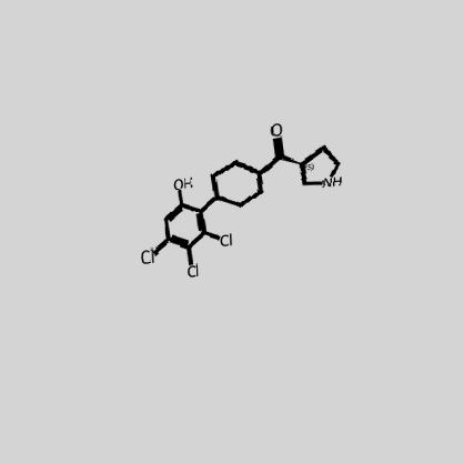 O=C(C1CCC(c2c(O)cc(Cl)c(Cl)c2Cl)CC1)[C@H]1CCNC1